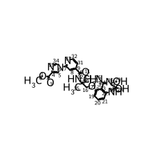 COC(=O)c1cn(-c2cc(C(=O)NC(C)(C)COc3cccc4c3C(N)=NS(O)(O)N4)ccn2)cn1